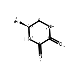 CC(C)[C@H]1CNC(=O)C(=O)N1